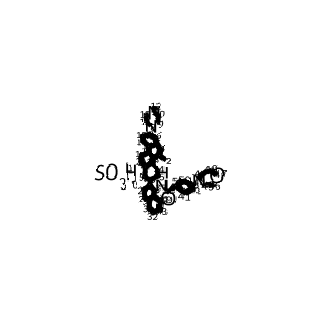 CS(=O)(=O)O.Cc1cc2cc(N3CCN(C)CC3)ccc2c2ccc3c(c12)CCC(c1ccc2ccccc2c1NC(=O)c1ccc(N2CCOCC2)cc1)C3